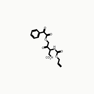 C=CCOC(=O)NC(CC(=O)O)C(=O)COC(=O)C(=O)c1ccccc1